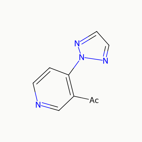 CC(=O)c1cnccc1-n1nccn1